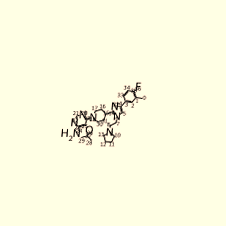 Cc1cc(-c2cn(CCN3CCCC3)c(C3CCN(c4ncnc(N)c4OC(C)C)CC3)n2)ccc1F